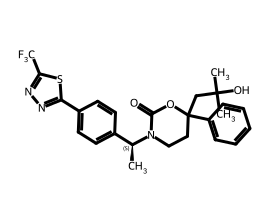 C[C@@H](c1ccc(-c2nnc(C(F)(F)F)s2)cc1)N1CCC(CC(C)(C)O)(c2ccccc2)OC1=O